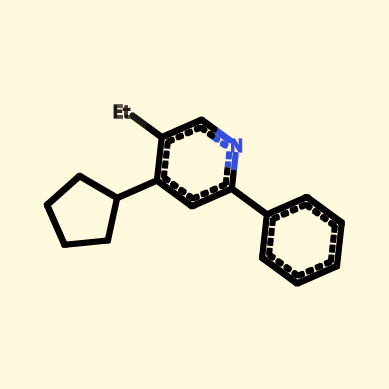 CCc1cnc(-c2ccccc2)cc1C1CCCC1